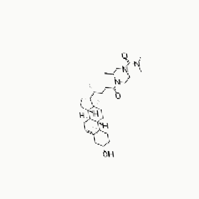 C[C@H](CCC(=O)N1CCN(C(=O)N(C)C)C[C@@H]1C)[C@H]1CC[C@H]2[C@@H]3CC=C4C[C@@H](O)CC[C@]4(C)[C@H]3CC[C@]12C